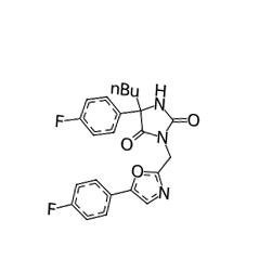 CCCCC1(c2ccc(F)cc2)NC(=O)N(Cc2ncc(-c3ccc(F)cc3)o2)C1=O